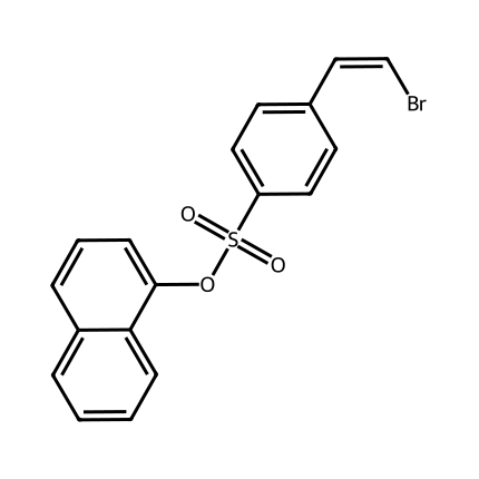 O=S(=O)(Oc1cccc2ccccc12)c1ccc(/C=C\Br)cc1